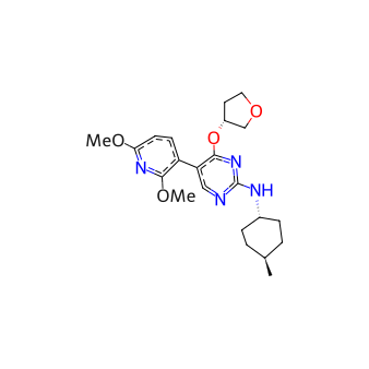 COc1ccc(-c2cnc(N[C@H]3CC[C@H](C)CC3)nc2O[C@@H]2CCOC2)c(OC)n1